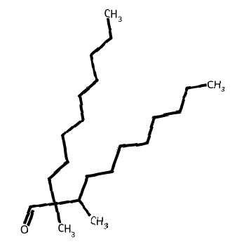 CCCCCCCCCC(C)(C=O)C(C)CCCCCCCC